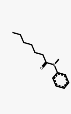 CCCCCCC(=O)N(C)c1ccccc1